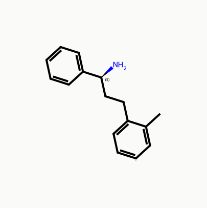 Cc1c[c]ccc1CC[C@H](N)c1ccccc1